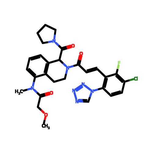 COCC(=O)N(C)c1cccc2c1CCN(C(=O)/C=C/c1c(-n3cnnn3)ccc(Cl)c1F)C2C(=O)N1CCCC1